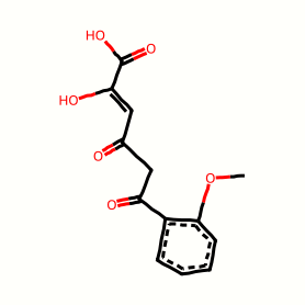 COc1ccccc1C(=O)CC(=O)/C=C(\O)C(=O)O